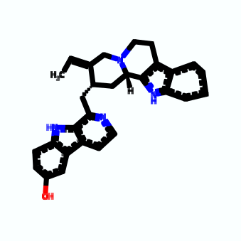 C/C=C1/CN2CCc3c([nH]c4ccccc34)[C@@H]2C[C@@H]1Cc1nccc2c1[nH]c1ccc(O)cc12